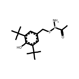 CC(=O)N(N)SCc1cc(C(C)(C)C)c(O)c(C(C)(C)C)c1